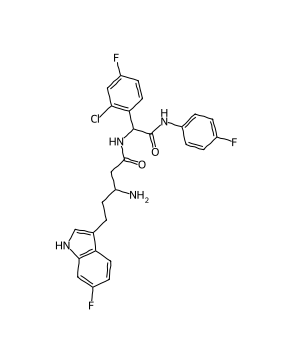 NC(CCc1c[nH]c2cc(F)ccc12)CC(=O)NC(C(=O)Nc1ccc(F)cc1)c1ccc(F)cc1Cl